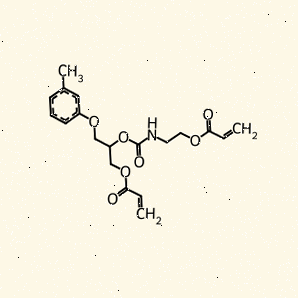 C=CC(=O)OCCNC(=O)OC(COC(=O)C=C)COc1cccc(C)c1